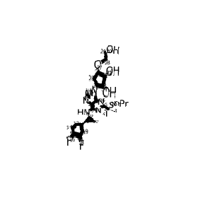 CCCS[C@@](C)(I)c1nc(N[C@@H]2C[C@H]2c2ccc(F)c(F)c2)c2nnn([C@@H]3C[C@H](OCCO)[C@@H](O)[C@H]3O)c2n1